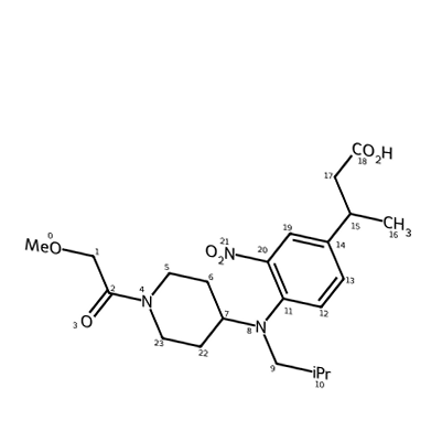 COCC(=O)N1CCC(N(CC(C)C)c2ccc(C(C)CC(=O)O)cc2[N+](=O)[O-])CC1